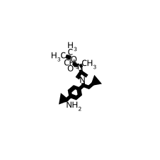 CN(C(=O)OC(C)(C)C)C1CN(C(CC2CC2)c2ccc(C3(N)CC3)cc2)C1